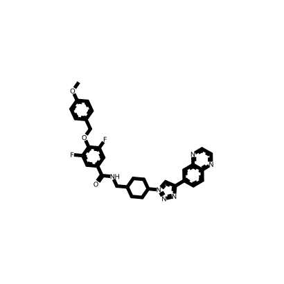 COc1ccc(COc2c(F)cc(C(=O)NCC3CCC(n4cc(-c5ccc6nccnc6c5)nn4)CC3)cc2F)cc1